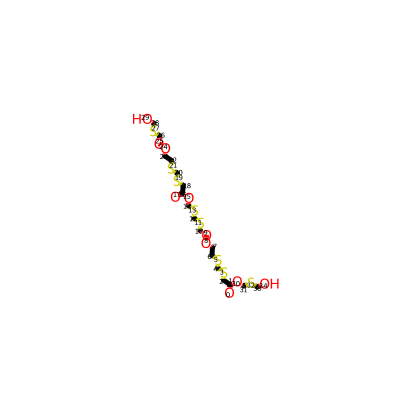 O=C(CSCSCCOOCSCSCOC(=O)CSCSCCOOCSCO)OCSCO